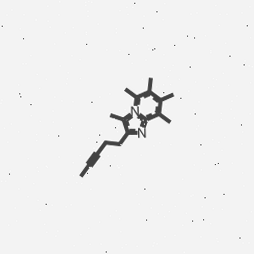 CC#CCCc1nc2c(C)c(C)c(C)c(C)n2c1C